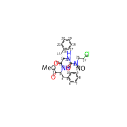 COC(=O)[C@H](Cc1ccccc1)NC(=O)[C@H](Cc1ccccc1)NC(=O)N(CCCl)N=O